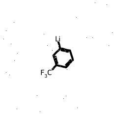 [Li][c]1cccc(C(F)(F)F)c1